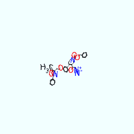 Cc1oc(-c2ccccc2)nc1CCOc1cccc(C2=C(C(=O)C=[N+]=[N-])CN(C(=O)OCc3ccccc3)CC2)c1